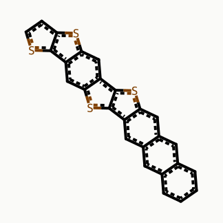 c1ccc2cc3cc4c(cc3cc2c1)sc1c2cc3sc5ccsc5c3cc2sc41